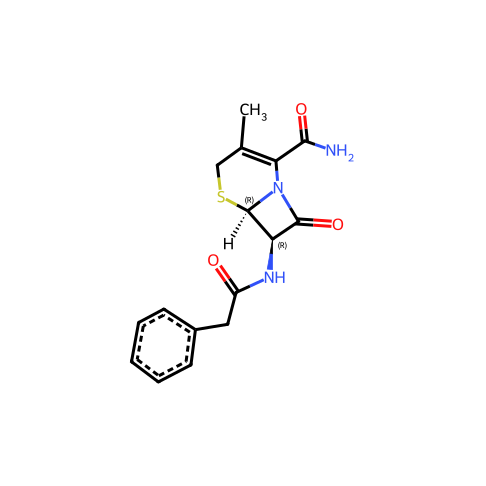 CC1=C(C(N)=O)N2C(=O)[C@@H](NC(=O)Cc3ccccc3)[C@H]2SC1